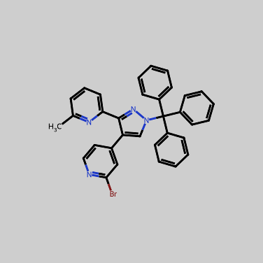 Cc1cccc(-c2nn(C(c3ccccc3)(c3ccccc3)c3ccccc3)cc2-c2ccnc(Br)c2)n1